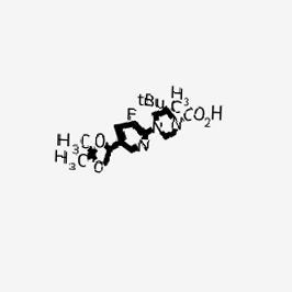 CC1(C)OCC(c2cnc(N3CCN(C(=O)O)C(C)(C(C)(C)C)C3)c(F)c2)O1